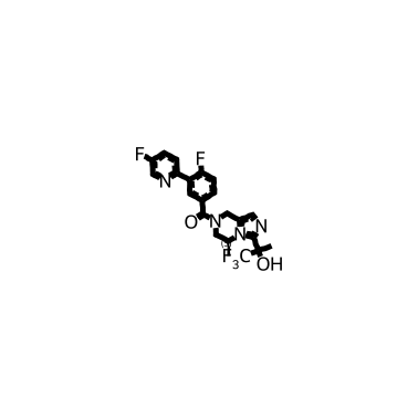 C[C@H]1CN(C(=O)c2ccc(F)c(-c3ccc(F)cn3)c2)Cc2cnc(C(C)(O)C(F)(F)F)n21